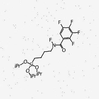 CC(C)O[Si](CCCCN(F)C(=O)c1cc(F)c(F)c(F)c1F)(OC(C)C)OC(C)C